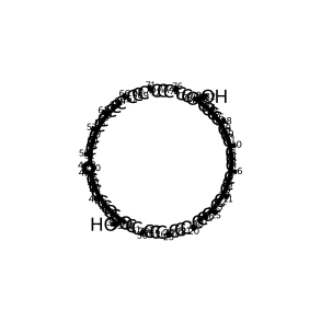 CC1CCCC(C)CCCC(C)CCC(C)CCCC(C)CCCC(C)CCCC(C)CCOC(CO)COCCC(C)CCCC2CCC(C2)C(C)CCCC(C)CCC(C)CCCC(C)CCCC(C)CCCC(C)CCOC(CO)COCCC(C)CCC1